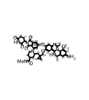 CNC(=O)C1CCN(c2cccc3c2C(=O)N(C2CCC(=O)NC2=O)C3=O)C(CC2(COc3cc4c(N[C@H](C)c5cc(N)cc(C(F)(F)F)c5)nc(C)nc4cc3OC)CC2)C1